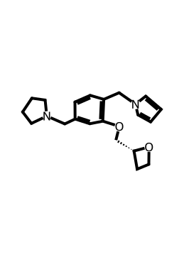 c1ccn(Cc2ccc(CN3CCCC3)cc2OC[C@H]2CCO2)c1